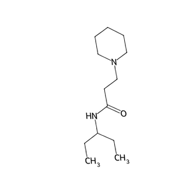 CCC(CC)NC(=O)CCN1CCCCC1